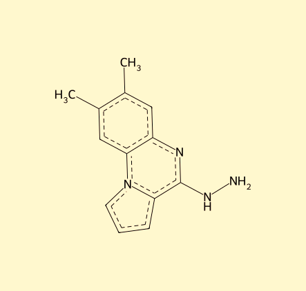 Cc1cc2nc(NN)c3cccn3c2cc1C